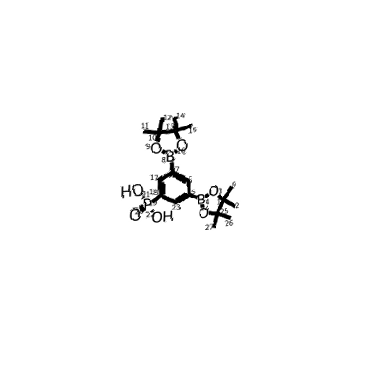 CC1(C)OB(c2cc(B3OC(C)(C)C(C)(C)O3)cc(P(=O)(O)O)c2)OC1(C)C